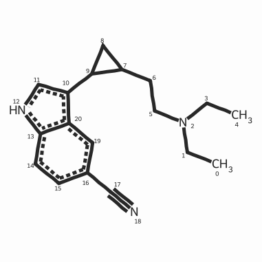 CCN(CC)CCC1CC1c1c[nH]c2ccc(C#N)cc12